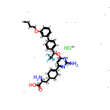 CCCCOc1cccc(-c2ccc(C(Oc3cc(C4=CCC(CC(N)C(=O)O)CC4)nc(N)n3)C(F)(F)F)cc2)c1.Cl